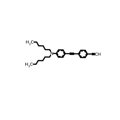 C#Cc1ccc(C#Cc2ccc(N(CCCCCC)CCCCCC)cc2)cc1